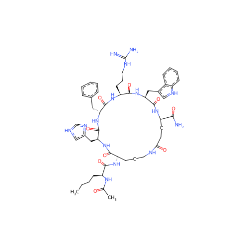 CCCC[C@H](NC(C)=O)C(=O)N[C@H]1CCCNC(=O)CCC(C(N)=O)NC(=O)[C@H](Cc2c[nH]c3ccccc23)NC(=O)[C@H](CCCNC(=N)N)NC(=O)[C@@H](Cc2ccccc2)NC(=O)[C@H](Cc2c[nH]cn2)NC1=O